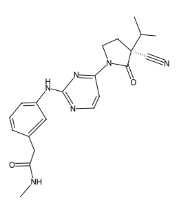 CNC(=O)Cc1cccc(Nc2nccc(N3CC[C@@](C#N)(C(C)C)C3=O)n2)c1